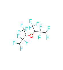 FC(F)C(F)(F)C(OC(C(F)(F)F)C(F)(F)C(F)F)C(F)(F)F